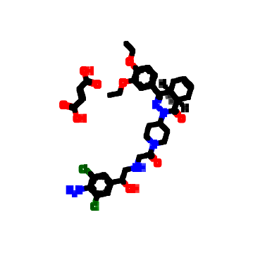 CCOc1ccc(C2=NN(C3CCN(C(=O)CNCC(O)c4cc(Cl)c(N)c(Cl)c4)CC3)C(=O)[C@@H]3CC=CC[C@H]23)cc1OCC.O=C(O)C=CC(=O)O